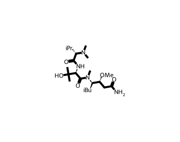 CC[C@H](C)[C@@H]([C@@H](CC(N)=O)OC)N(C)C(=O)[C@@H](NC(=O)[C@H](C(C)C)N(C)C)C(C)(C)O